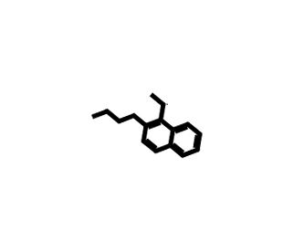 C[CH]c1c(CCCC)ccc2ccccc12